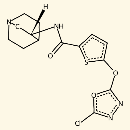 O=C(N[C@H]1CN2CCC1CC2)c1ccc(Oc2nnc(Cl)o2)s1